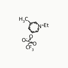 CC[n+]1cccc(C)c1.O=S(=O)([O-])C(F)(F)F